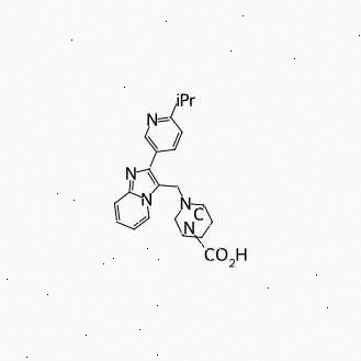 CC(C)c1ccc(-c2nc3ccccn3c2CN2CC3CCC2CN3C(=O)O)cn1